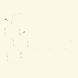 CC(C)(C)[Si](C)(C)OCCC=C1C[C@@H]2[C@H](CC[C@]3(C)CCC[C@@H]23)c2ccccc21